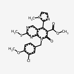 COC(=O)c1c(-c2nccn2C)c2cnc(SC)nc2n(Cc2ccc(OC)c(Cl)c2)c1=O